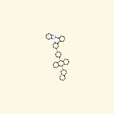 c1ccc2cc(-c3c4ccccc4c(-c4ccc(-c5ccc6c(c5)c5ccccc5c5nc7ccccc7n65)cc4)c4ccccc34)ccc2c1